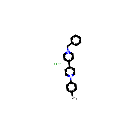 Cc1ccc(-[n+]2ccc(-c3cc[n+](Cc4ccccc4)cc3)cc2)cc1.[Cl-].[Cl-]